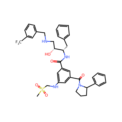 CS(=O)(=O)CNc1cc(C(=O)N[C@@H](Cc2ccccc2)[C@H](O)CNCc2cccc(C(F)(F)F)c2)cc(C(=O)N2CCCC2c2ccccc2)c1